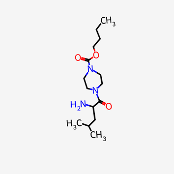 CCCCOC(=O)N1CCN(C(=O)C(N)CC(C)C)CC1